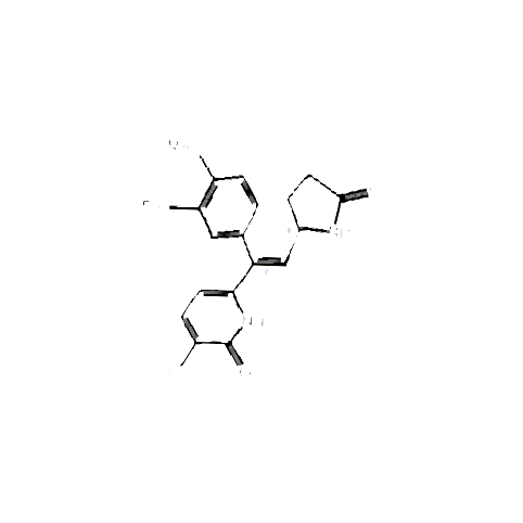 CSc1ccc(/C(=C\[C@H]2CCC(=O)N2)c2ccc(Cl)c(=O)[nH]2)cc1C(F)(F)F